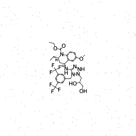 CCOC(=O)N1c2ccc(OC)cc2[C@@H](NC2=NNN(CC(O)CO)N2Cc2cc(C(F)(F)F)cc(C(F)(F)F)c2)C[C@H]1CC